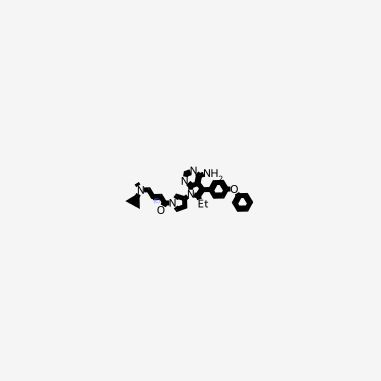 CCc1c(-c2ccc(Oc3ccccc3)cc2)c2c(N)ncnc2n1C1CCN(C(=O)/C=C/CN(C)C2CC2)C1